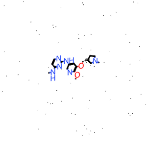 CNc1ccnc(Nc2cnc(OC)c(OC[C@@H]3CCN(C)C3)c2)n1